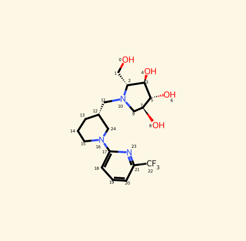 OC[C@@H]1[C@@H](O)[C@H](O)[C@@H](O)CN1C[C@H]1CCCN(c2cccc(C(F)(F)F)n2)C1